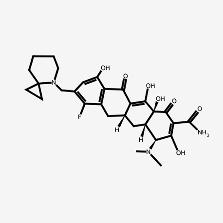 CN(C)[C@@H]1C(O)=C(C(N)=O)C(=O)[C@@]2(O)C(O)=C3C(=O)c4c(O)cc(CN5CCCCC56CC6)c(F)c4C[C@H]3C[C@@H]12